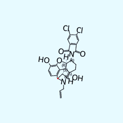 C=CCN1CC2[C@@H]1[C@]1(O)CC[C@@H](N3C(=O)c4cc(Cl)c(Cl)cc4C3=O)[C@@H]3Oc4c(O)ccc(C)c4[C@@]231